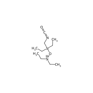 CC[SiH](CC)O[Si](CC)(CC)CN=C=O